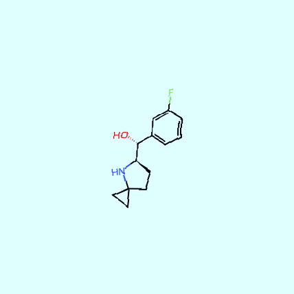 O[C@H](c1cccc(F)c1)[C@H]1CCC2(CC2)N1